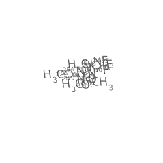 CCS(=O)(=O)c1c(-c2nc3cc(C(F)(F)F)ncc3n2C)nc([C@H]2CC[C@@H](C)CC2)n1C